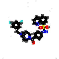 O=C(c1ccc(NS(=O)(=O)c2cccc3cccnc23)cc1)N1CC2CCC(CN(Cc3cc(F)cc(F)c3)C2)C1